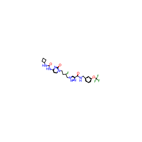 O=C(Nc1ccn(CCC(F)Cn2cc(C(=O)NCc3cccc(OC(F)(F)F)c3)nn2)c(=O)n1)NC1CCC1